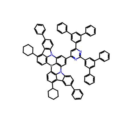 c1ccc(-c2cc(-c3ccccc3)cc(-c3cc(-c4cc5c6c(c4)-n4c7ccc(-c8ccccc8)cc7c7c(C8CCCCC8)ccc(c74)B6c4ccc(C6CCCCC6)c6c7cc(-c8ccccc8)ccc7n-5c46)nc(-c4cc(-c5ccccc5)cc(-c5ccccc5)c4)n3)c2)cc1